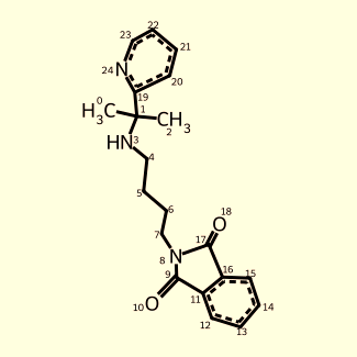 CC(C)(NCCCCN1C(=O)c2ccccc2C1=O)c1ccccn1